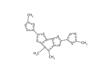 Cc1ccc(-c2cc3c(C)c(C)c4cc(-c5ccc(C)s5)sc4c3s2)s1